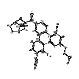 COCCc1ccc(-c2ccc(C(=O)N3CC4CCC(C3)N4)cc2-c2ccc(C#N)c(F)c2)c(F)c1